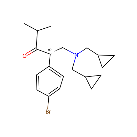 CC(C)C(=O)[C@H](CN(CC1CC1)CC1CC1)c1ccc(Br)cc1